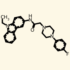 CCn1c2ccccc2c2cc(NC(=O)CN3CCN(c4ccc(F)cc4)CC3)ccc21